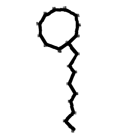 CCCCCCCCCC1CCCCCCCCCC1